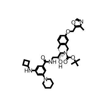 Cc1ncoc1COc1ccc2c(c1)CN(C(=O)OC(C)(C)C)[C@H]([C@H](O)CNC(=O)c1cc(NC3CCC3)cc(N3CCCCC3)c1)C2